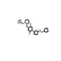 Fc1cc(-c2cccc(OCc3ccccc3)n2)c(F)cc1CC1C=CC=C[C@@H]1CC1CCO1